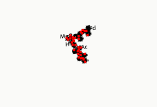 COc1ccc(C=C2C(=O)Nc3cc(NC(C)=O)ccc32)cc1-c1cccs1.[Pd].c1ccc(P(c2ccccc2)c2ccccc2)cc1.c1ccc(P(c2ccccc2)c2ccccc2)cc1.c1ccc(P(c2ccccc2)c2ccccc2)cc1.c1ccc(P(c2ccccc2)c2ccccc2)cc1